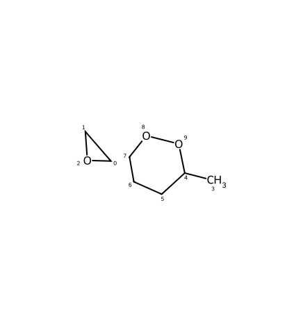 C1CO1.CC1CCCOO1